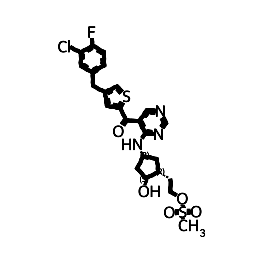 CS(=O)(=O)OCC[C@H]1C[C@@H](Nc2ncncc2C(=O)c2cc(Cc3ccc(F)c(Cl)c3)cs2)C[C@@H]1O